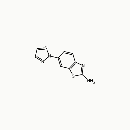 Nc1nc2ccc(-n3nccn3)cc2s1